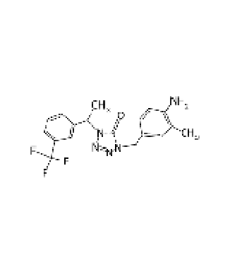 Cc1cc(Cn2nnn(C(C)c3cccc(C(F)(F)F)c3)c2=O)ccc1N